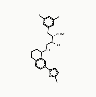 CC(=O)N[C@@H](Cc1cc(F)cc(F)c1)[C@@H](O)CNC1CCCc2ccc(-c3ccc(C)s3)cc21